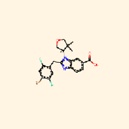 CC1(C)COC[C@H]1n1c(Cc2cc(F)c(Br)cc2F)nc2ccc(C(=O)O)cc21